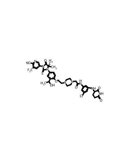 CC(O)c1cc(N2C(=S)N(c3cnc(C#N)c(C(F)(F)F)c3)C(=O)C2(C)C)ccc1OCCN1CCN(CC(=O)Nc2cc(Cl)cc(NC3CCC(=O)NC3=O)c2)CC1